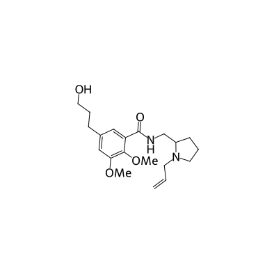 C=CCN1CCCC1CNC(=O)c1cc(CCCO)cc(OC)c1OC